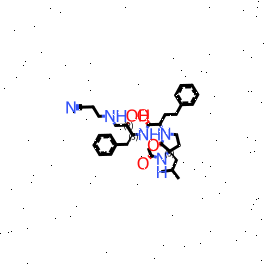 CC(=O)N[C@@]1(CC(C)C)CCN(C(CCc2ccccc2)C(=O)N[C@@H](Cc2ccccc2)[C@H](O)CNCCC#N)C1=O